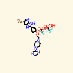 Brc1cnc2[nH]c(-c3ccc(OCCN4CCN(c5cnccn5)CC4)cc3)nc2c1.O=C(O)C(F)(F)F.O=C(O)C(F)(F)F